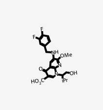 COc1nc2c(cc1NCc1ccc(F)c(F)c1)c(=O)c(C(=O)O)cn2C(CO)C(C)C